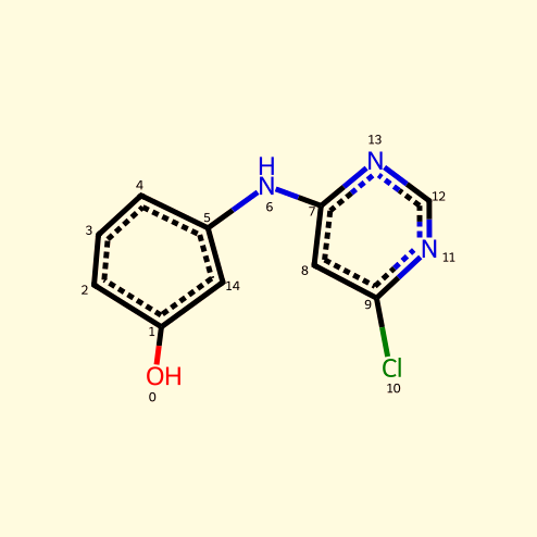 Oc1cccc(Nc2cc(Cl)ncn2)c1